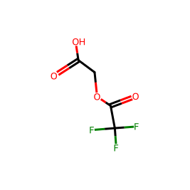 O=C(O)COC(=O)C(F)(F)F